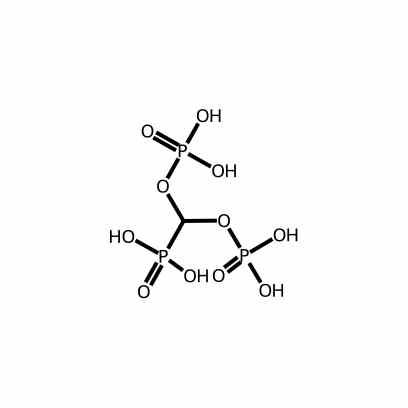 O=P(O)(O)OC(OP(=O)(O)O)P(=O)(O)O